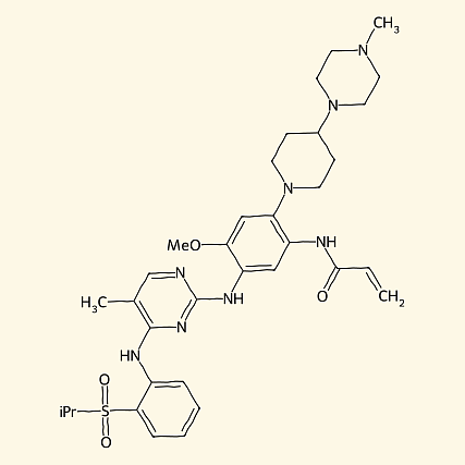 C=CC(=O)Nc1cc(Nc2ncc(C)c(Nc3ccccc3S(=O)(=O)C(C)C)n2)c(OC)cc1N1CCC(N2CCN(C)CC2)CC1